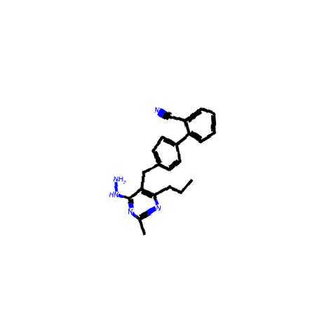 CCCc1nc(C)nc(NN)c1Cc1ccc(-c2ccccc2C#N)cc1